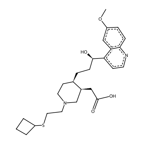 COc1ccc2nccc([C@H](O)CC[C@@H]3CCN(CCSC4CCC4)C[C@@H]3CC(=O)O)c2c1